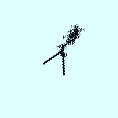 CCCCCCCCCCCCCCCC(=O)OC[C@H](COP(=O)(O)OCCNC(=O)CCC(=O)N[C@@H](C)C(=O)N(CC(C)O[C@@H]1[C@@H](N)[C@@H](O)O[C@H](CO)[C@H]1O)[C@H](CCC(=O)O)C(N)=O)OC(=O)CCCCCCCCCCCCCCC